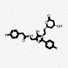 CC(C)c1c(CNC(=O)Cc2ccc(F)cc2)nc(-c2ccc(F)cc2)n1CC[C@@H]1C[C@@H](O)CC(=O)O1